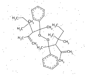 C=C(C)C(C(C)(C)CC)C(C)(OOC(C)(c1ccccc1)C(C(=C)C)C(C)(C)CC)c1ccccc1